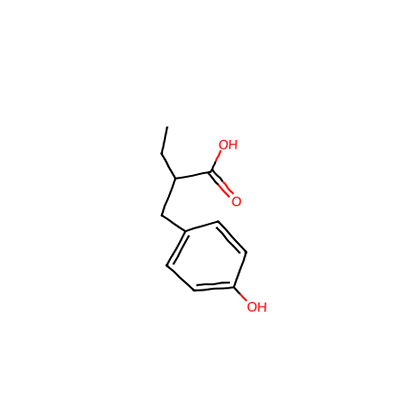 CCC(Cc1ccc(O)cc1)C(=O)O